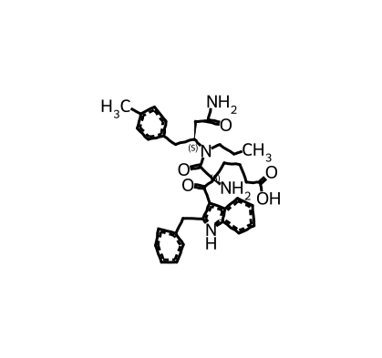 CCCN(C(=O)[C@](N)(CCCC(=O)O)C(=O)c1c(Cc2ccccc2)[nH]c2ccccc12)[C@H](CC(N)=O)Cc1ccc(C)cc1